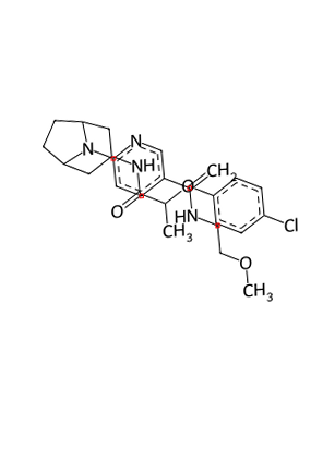 C=C(NCCOC)c1ccc(N2C3CCC2CC(NC(=O)C(C)Oc2ccc(Cl)cc2)C3)nc1